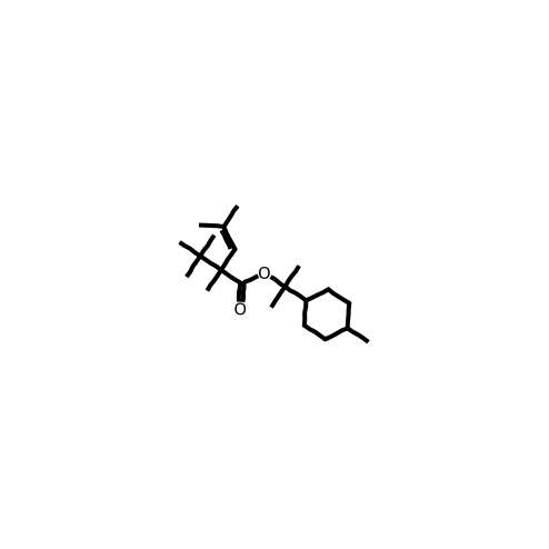 CC(C)=CC(C)(C(=O)OC(C)(C)C1CCC(C)CC1)C(C)(C)C